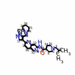 CC(C)CN1CCC(C(=O)Nc2cc3nc(-c4cnn(C)c4CN4CCCCC4)ccc3cn2)CC1